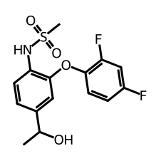 CC(O)c1ccc(NS(C)(=O)=O)c(Oc2ccc(F)cc2F)c1